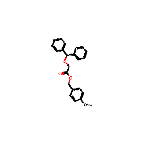 COc1ccc(COC(=O)COC(c2ccccc2)c2ccccc2)cc1